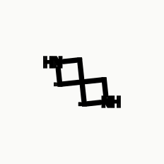 [CH]1NCC12[CH]NC2